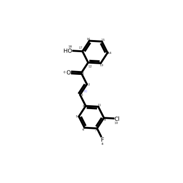 O=C(/C=C/c1ccc(F)c(Cl)c1)c1ccccc1O